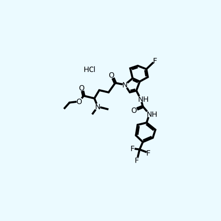 CCOC(=O)C(CCC(=O)n1cc(NC(=O)Nc2ccc(C(F)(F)F)cc2)c2cc(F)ccc21)N(C)C.Cl